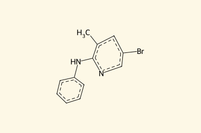 Cc1cc(Br)cnc1Nc1ccccc1